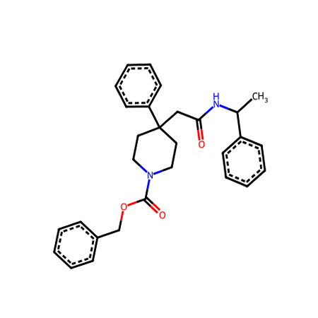 CC(NC(=O)CC1(c2ccccc2)CCN(C(=O)OCc2ccccc2)CC1)c1ccccc1